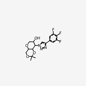 CC1(C)OCC2OCC(O)C(n3cc(-c4cc(F)c(F)c(F)c4)nn3)C2O1